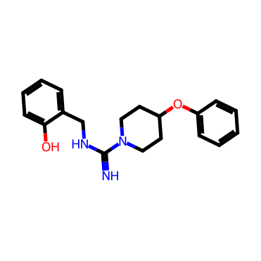 N=C(NCc1ccccc1O)N1CCC(Oc2ccccc2)CC1